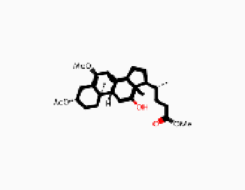 COC(=O)CC[C@@H](C)C1CCC2C3=CC(OC)=C4C[C@@H](OC(C)=O)CC[C@]4(C)[C@H]3C[C@H](O)C21C